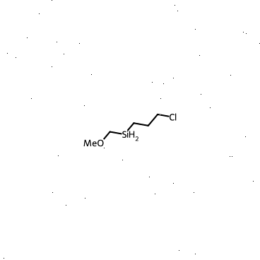 COC[SiH2]CCCCl